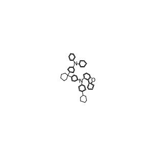 c1ccc(N(c2ccccc2)c2ccc(C3(c4ccc(N(c5ccc(C6CCCCC6)cc5)c5cccc6oc7ccccc7c56)cc4)CCCCC3)cc2)cc1